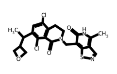 Cc1[nH]c(=O)c(CN2CCc3c(Cl)cc(C(C)C4COC4)c(Cl)c3C2=O)c2sncc12